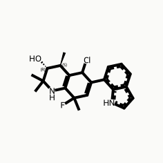 C[C@H]1C2=C(NC(C)(C)[C@@H]1O)C(C)(F)C=C(c1cccc3cc[nH]c13)C2Cl